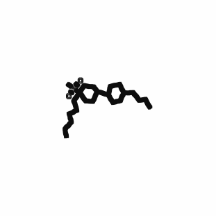 CCCCCCC1(S(C)(=O)=O)CCC(C2CCC(CCCC)CC2)CC1